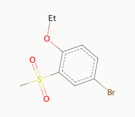 CCOc1ccc(Br)cc1S(C)(=O)=O